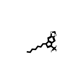 CCCCCCCC1C=C(C(F)(F)F)c2cc3c(cc21)OCO3